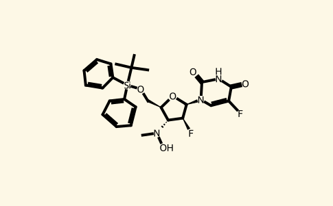 CN(O)[C@H]1[C@H](F)[C@H](n2cc(F)c(=O)[nH]c2=O)O[C@@H]1CO[Si](c1ccccc1)(c1ccccc1)C(C)(C)C